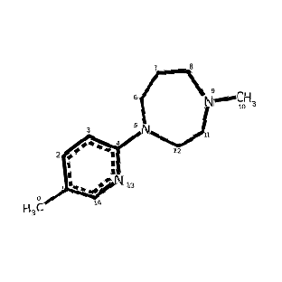 Cc1ccc(N2CCCN(C)CC2)nc1